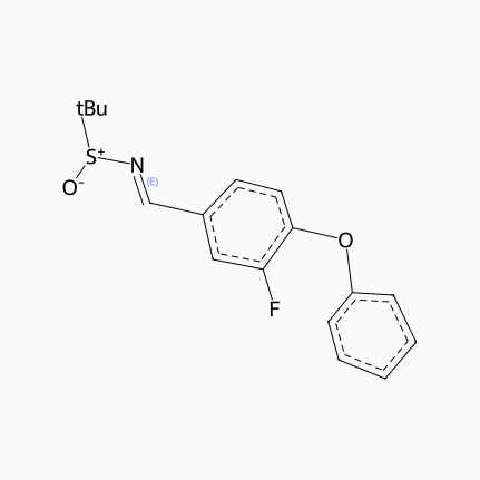 CC(C)(C)[S+]([O-])/N=C/c1ccc(Oc2ccccc2)c(F)c1